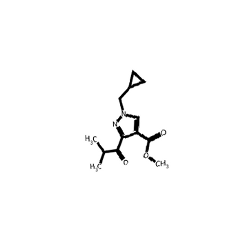 COC(=O)c1cn(CC2CC2)nc1C(=O)C(C)C